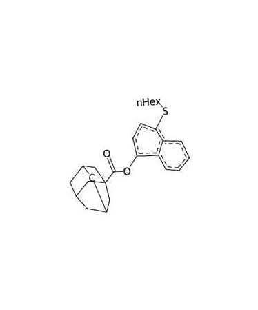 CCCCCCSc1ccc(OC(=O)C23CC4CC(CC(C4)C2)C3)c2ccccc12